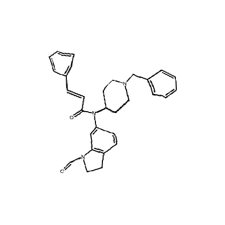 O=CN1CCc2ccc(N(C(=O)/C=C/c3ccccc3)C3CCN(Cc4ccccc4)CC3)cc21